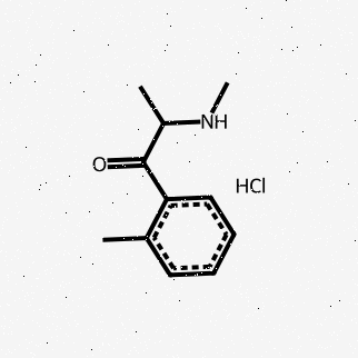 CNC(C)C(=O)c1ccccc1C.Cl